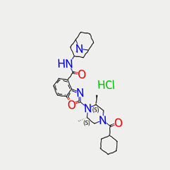 C[C@H]1CN(C(=O)C2CCCCC2)C[C@H](C)N1c1nc2c(C(=O)NC3CC4CCCC(C3)N4C)cccc2o1.Cl